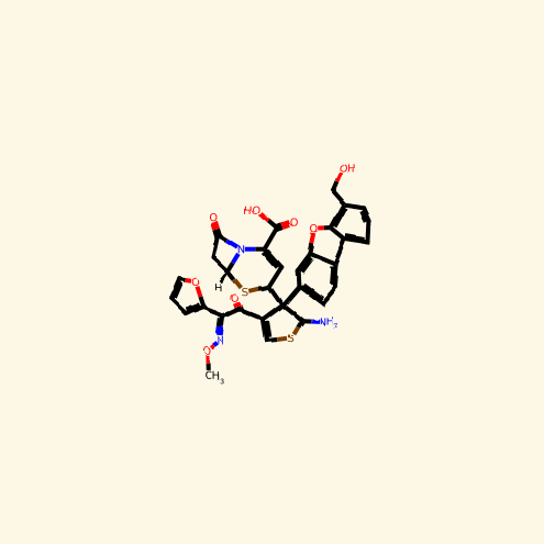 CON=C(C(=O)C1=CSC(N)C1(c1ccc2c(c1)oc1c(CO)cccc12)C1C=C(C(=O)O)N2C(=O)C[C@H]2S1)c1ccco1